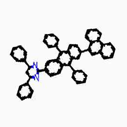 c1ccc(-c2cc(-c3ccccc3)nc(-c3ccc4c(-c5ccccc5)c5cc(-c6cc7ccccc7c7ccccc67)ccc5c(-c5ccccc5)c4c3)n2)cc1